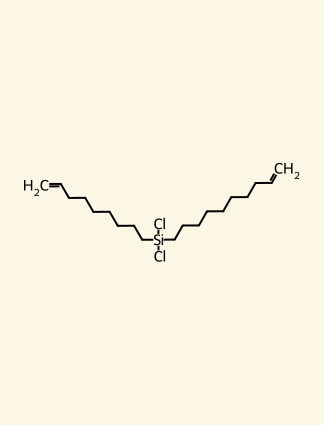 C=CCCCCCCCC[Si](Cl)(Cl)CCCCCCCC=C